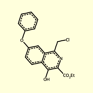 CCOC(=O)c1nc(CCl)c2cc(Oc3ccccc3)ccc2c1O